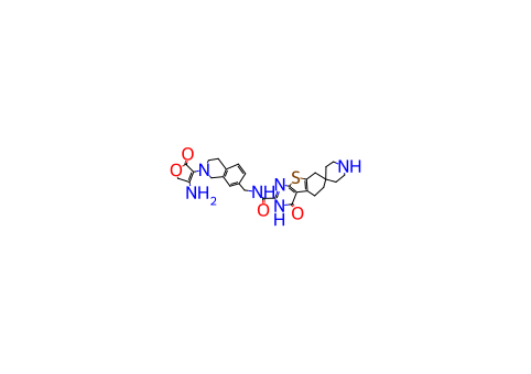 NC1=C(N2CCc3ccc(CNC(=O)c4nc5sc6c(c5c(=O)[nH]4)CCC4(CCNCC4)C6)cc3C2)C(=O)OC1